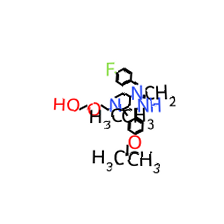 C=C(NCc1ccc(OCC(C)C)cc1)N(Cc1ccc(F)cc1)C1CCN(CCOCCO)C(C)(C)C1